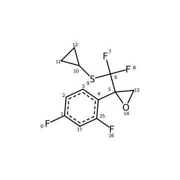 Fc1ccc(C2(C(F)(F)SC3CC3)CO2)c(F)c1